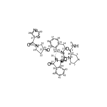 CNC(=O)[C@H]1CCCCN1C(=O)N1CCc2cccc(O[C@H]3CCN(C(=O)c4cncs4)C3)c2[C@H]1CN1C(=O)c2ccccc2C1=O